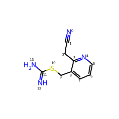 N#CCc1ncccc1CSC(=N)N